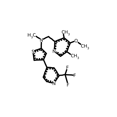 COc1c(C)cnc(CN(C)c2cc(-c3ccnc(C(F)(F)F)c3)cs2)c1C